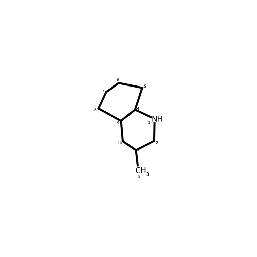 CC1CNC2CCCCC2C1